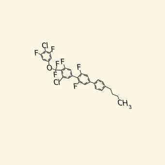 CCCCc1ccc(-c2cc(F)c(-c3cc(F)c(C(F)(F)Oc4cc(F)c(Cl)c(F)c4)c(Cl)c3)c(F)c2)cc1